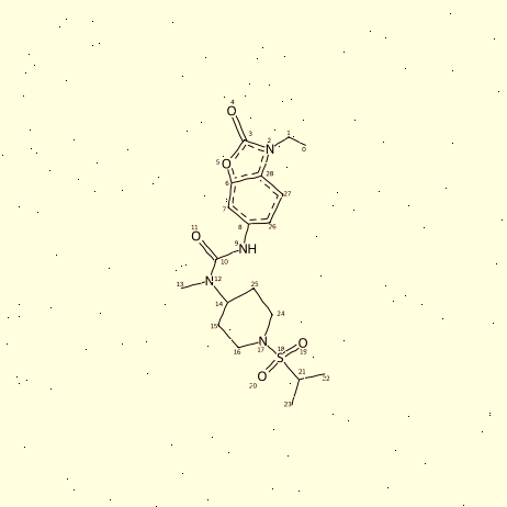 CCn1c(=O)oc2cc(NC(=O)N(C)C3CCN(S(=O)(=O)C(C)C)CC3)ccc21